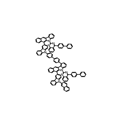 c1ccc(-c2ccc(-c3nc(-n4c5ccccc5c5cc6ccccc6c(-c6ccc7c(c6)c6ccccc6n7-c6ccc(-c7ccc(-c8cccc9c8c8cc%10ccccc%10c(-c%10ccc%11c(c%10)c%10ccccc%10n%11-c%10ccc%11ccccc%11c%10)c8n9-c8nc(-c9ccc(-c%10ccccc%10)cc9)c9ccccc9n8)cc7)cc6)c54)nc4ccccc34)cc2)cc1